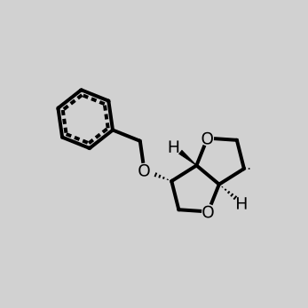 [CH]1CO[C@H]2[C@@H](OCc3ccccc3)CO[C@H]12